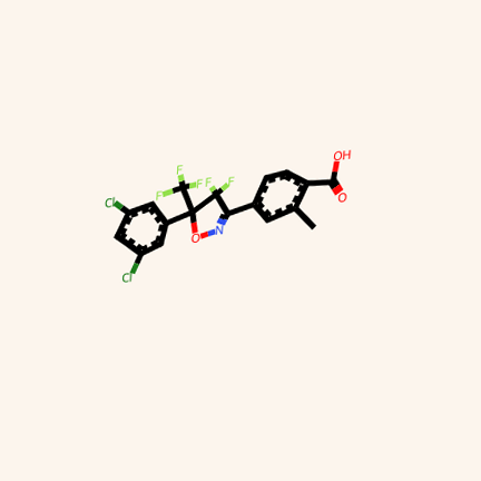 Cc1cc(C2=NOC(c3cc(Cl)cc(Cl)c3)(C(F)(F)F)C2(F)F)ccc1C(=O)O